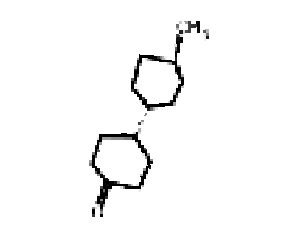 C[C@H]1CC[C@H](C2CCC(=O)CC2)CC1